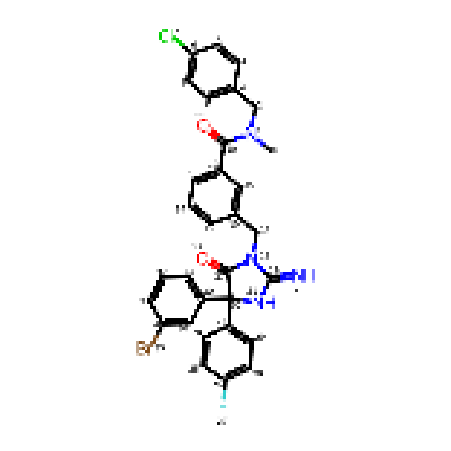 CN(Cc1ccc(Cl)cc1)C(=O)c1cccc(CN2C(=N)NC(c3ccc(F)cc3)(c3cccc(Br)c3)C2=O)c1